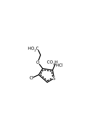 Cl.O=C(O)COc1c(Cl)csc1C(=O)O